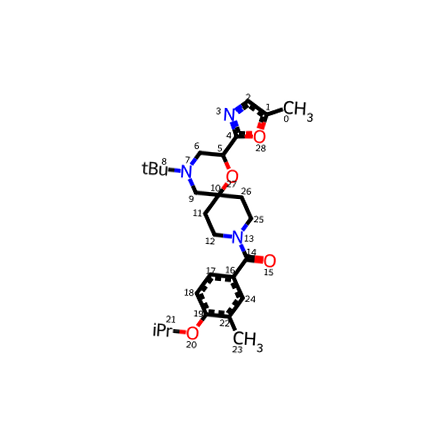 Cc1cnc(C2CN(C(C)(C)C)CC3(CCN(C(=O)c4ccc(OC(C)C)c(C)c4)CC3)O2)o1